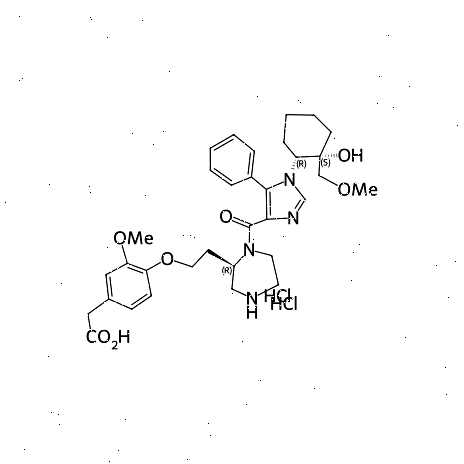 COC[C@]1(O)CCCC[C@H]1n1cnc(C(=O)N2CCNC[C@H]2CCOc2ccc(CC(=O)O)cc2OC)c1-c1ccccc1.Cl.Cl